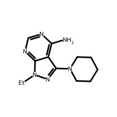 [CH2]Cn1nc(N2CCCCC2)c2c(N)ncnc21